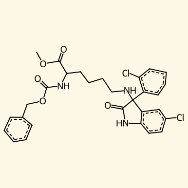 COC(=O)C(CCCCNC1(c2ccccc2Cl)C(=O)Nc2ccc(Cl)cc21)NC(=O)OCc1ccccc1